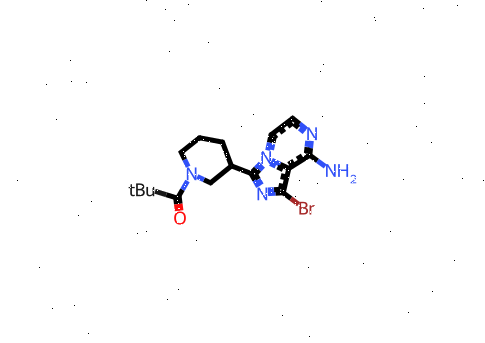 CC(C)(C)C(=O)N1CCCC(c2nc(Br)c3c(N)nccn23)C1